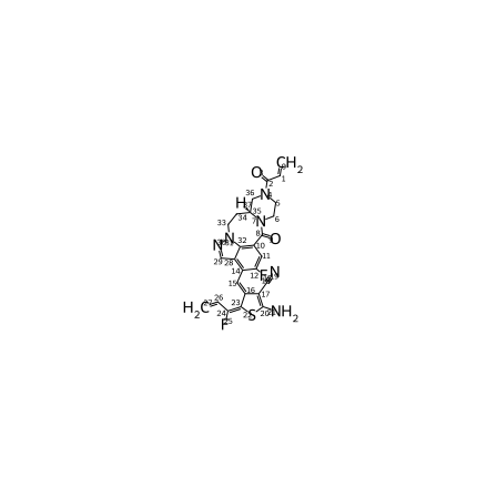 C=CC(=O)N1CCN2C(=O)c3cc(F)c(/C=c4\c(C#N)c(N)s\c4=C(/F)C=C)c4cnn(c34)CC[C@@H]2C1